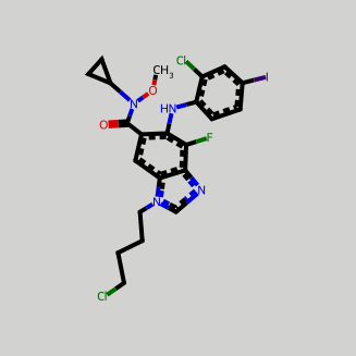 CON(C(=O)c1cc2c(ncn2CCCCCl)c(F)c1Nc1ccc(I)cc1Cl)C1CC1